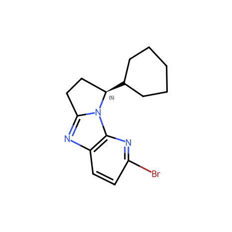 Brc1ccc2nc3n(c2n1)[C@H](C1CCCCC1)CC3